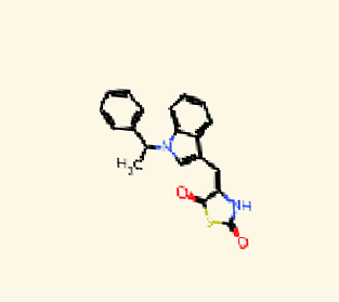 CC(c1ccccc1)n1cc(C=C2NC(=O)SC2=O)c2ccccc21